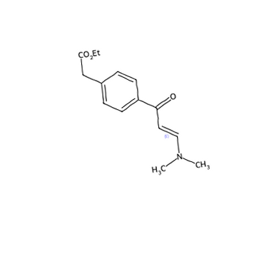 CCOC(=O)Cc1ccc(C(=O)/C=C/N(C)C)cc1